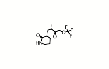 C[C@@H](C[C@@H]1CCCNC1=O)C(=O)COC(F)(F)F